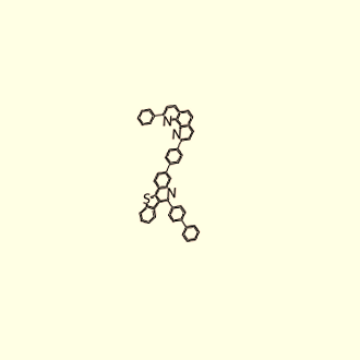 c1ccc(-c2ccc(-c3nc4cc(-c5ccc(-c6ccc7ccc8ccc(-c9ccccc9)nc8c7n6)cc5)ccc4c4sc5ccccc5c34)cc2)cc1